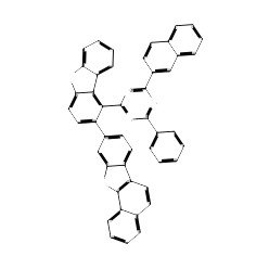 c1ccc(-c2nc(-c3ccc4ccccc4c3)nc(-c3c(-c4ccc5c(c4)oc4c6ccccc6ccc54)ccc4oc5ccccc5c34)n2)cc1